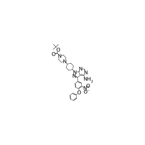 CC(C)(C)OC(=O)N1CCN(C2CCC(n3nc(-c4ccc(Oc5ccccc5)c([N+](=O)[O-])c4)c4c(N)ncnc43)CC2)CC1